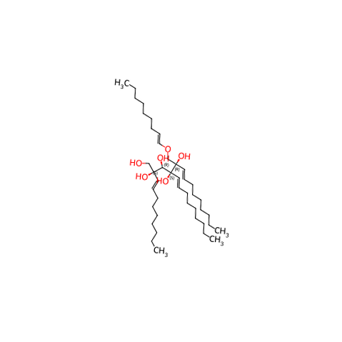 CCCCCCCC=COC[C@](O)(C=CCCCCCCC)[C@](O)(C=CCCCCCCC)[C@H](O)[C@](O)(C=CCCCCCCC)CO